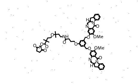 COc1cc2c(cc1OCc1cc(COc3cc4c(cc3OC)C(=O)N3c5ccccc5C[C@H]3C=N4)cc(OCCCC(=O)NCCC(C)(C)OCCC(C)(C)C(=O)ON3C(=O)CCC3=O)c1)N=C[C@@H]1Cc3ccccc3N1C2=O